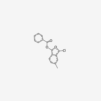 Cc1ccc2c(OC(=O)c3ccccc3)oc(Cl)c2c1